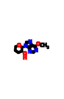 COc1ncnc2c1ncn2[C@@H]1OCCC[C@H]1O